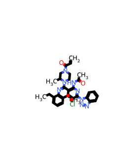 C=CC(=O)N1CCN(/C(=N/c2c(CC)cccc2CC)c2cc(Cl)c(-n3nnc4ccccc43)nc2NC(C)=O)C(C)C1